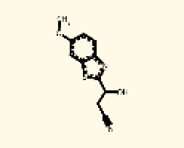 COc1ccc2nc(C(O)CC#N)sc2c1